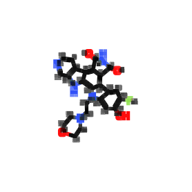 O=C1NC(=O)c2c1c1c3ccncc3[nH]c1c1c2c2cc(F)c(O)cc2n1CCN1CCOCC1